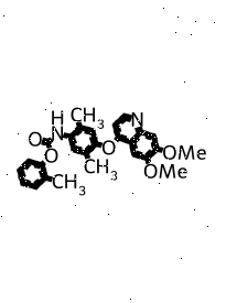 COc1cc2nccc(Oc3cc(C)c(NC(=O)Oc4ccccc4C)cc3C)c2cc1OC